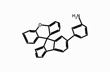 Nc1cccc(-c2ccc3c(c2)C2(c4ccccc4Oc4ccccc42)c2ccccc2-3)c1